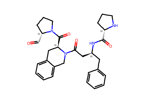 O=C[C@@H]1CCCN1C(=O)[C@@H]1Cc2ccccc2CN1C(=O)C[C@H](Cc1ccccc1)NC(=O)[C@@H]1CCCN1